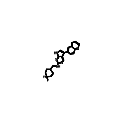 FC1(F)CCC(CNc2ncc3c(-c4ccc5ncccc5c4)c[nH]c3n2)CC1